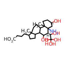 CC12CCC3C(C(O)[C@H](C(O)C(O)(O)O)C4(N)C[C@H](O)CCC34C)C1CCC2CCCC(=O)O